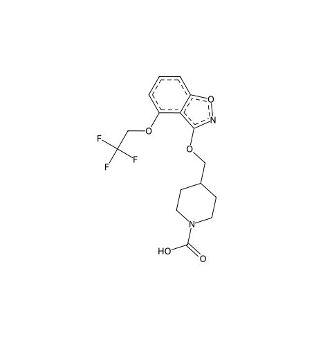 O=C(O)N1CCC(COc2noc3cccc(OCC(F)(F)F)c23)CC1